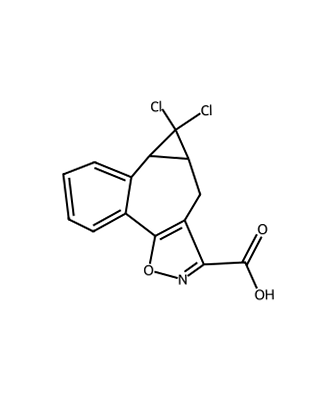 O=C(O)c1noc2c1CC1C(c3ccccc3-2)C1(Cl)Cl